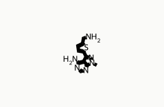 Cn1nc(-c2ccc(CN)s2)c2c(N)ncnc21